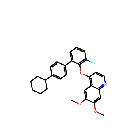 COc1cc2nccc(Oc3c(F)cccc3-c3ccc(C4CCCCC4)cc3)c2cc1OC